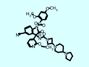 CCOc1ncccc1C1(NC(=O)N2CC(N3CCC(N4CCCC4)CC3)C2)C(=O)N(S(=O)(=O)c2ccc(OC)cc2OC)c2ccc(C#N)cc21